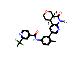 CCN1C(=O)[C@H]2COCC[C@@H]2c2cc(-c3cc(NC(=O)c4ccnc(C(C)(F)F)c4)ccc3C)cnc21